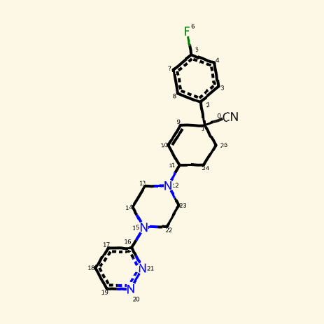 N#CC1(c2ccc(F)cc2)C=CC(N2CCN(c3cccnn3)CC2)CC1